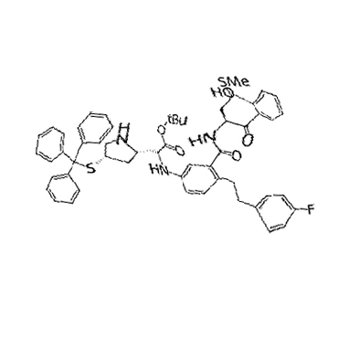 CSCC[C@H](NC(=O)c1cc(NC(C(=O)OC(C)(C)C)[C@@H]2C[C@H](SC(c3ccccc3)(c3ccccc3)c3ccccc3)CN2)ccc1CCc1ccc(F)cc1)C(=O)c1ccccc1O